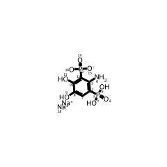 Nc1c(P(=O)(O)O)cc(O)c(O)c1P(=O)([O-])[O-].[Na+].[Na+]